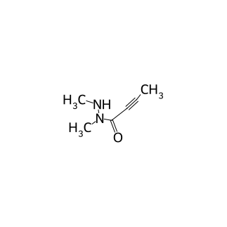 CC#CC(=O)N(C)NC